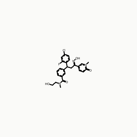 CN(CCO)C(=O)c1cccc(C(CC(=NO)c2ccc(=O)n(C)c2)c2ccc(Cl)cc2F)c1